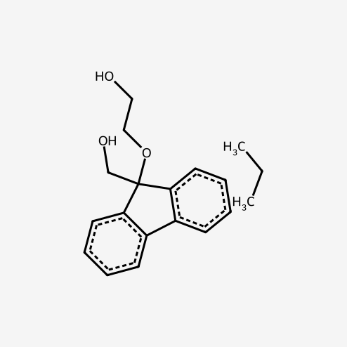 CCC.OCCOC1(CO)c2ccccc2-c2ccccc21